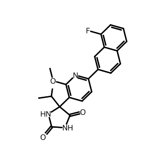 COc1nc(-c2ccc3cccc(F)c3c2)ccc1C1(C(C)C)NC(=O)NC1=O